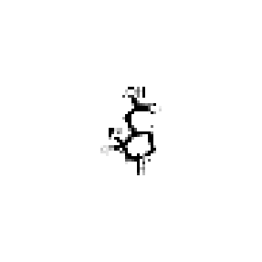 O=C(O)CC1CCNCC1(F)F